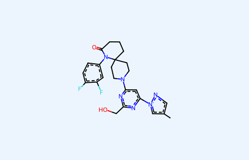 Cc1cnn(-c2cc(N3CCC4(CCCC(=O)N4c4ccc(F)c(F)c4)CC3)nc(CO)n2)c1